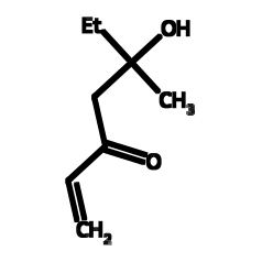 C=CC(=O)CC(C)(O)CC